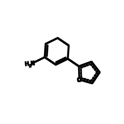 NC1=CCCC(c2ccco2)=C1